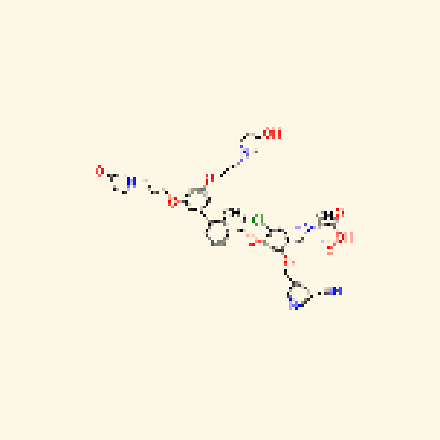 Cc1c(COc2cc(OCc3cncc(C#N)c3)c(CNC(C)(CO)C(=O)O)cc2Cl)cccc1-c1cc(OCCCN2CCC(O)C2)cc(OCCCN2CCC(O)C2)c1